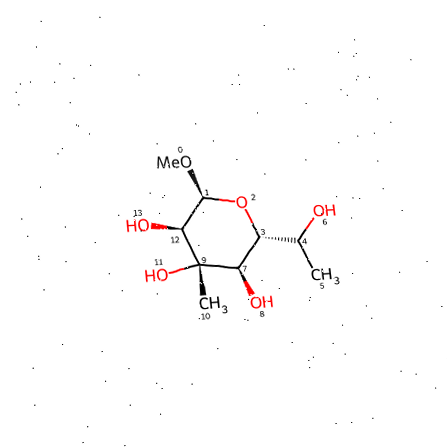 CO[C@H]1O[C@H](C(C)O)[C@@H](O)[C@](C)(O)[C@H]1O